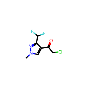 Cn1cc(C(=O)CCl)c(C(F)F)n1